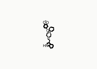 C1=CCC(Oc2ccc3c(c2)OCO3)(N2CCN(CCc3c[nH]c4ccccc34)CC2)C=C1